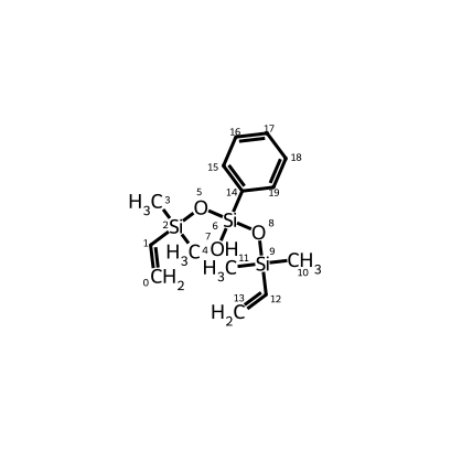 C=C[Si](C)(C)O[Si](O)(O[Si](C)(C)C=C)c1ccccc1